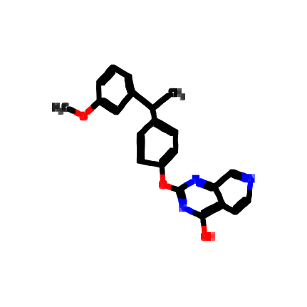 COc1cccc(C(C)c2ccc(Oc3nc(O)c4ccncc4n3)cc2)c1